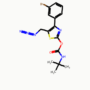 CC(C)(C)NC(=O)Oc1nc(-c2cccc(Br)c2)c(CN=[N+]=[N-])s1